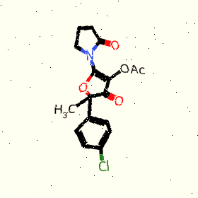 CC(=O)OC1=C(N2CCCC2=O)OC(C)(c2ccc(Cl)cc2)C1=O